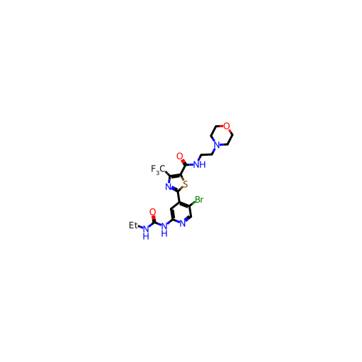 CCNC(=O)Nc1cc(-c2nc(C(F)(F)F)c(C(=O)NCCN3CCOCC3)s2)c(Br)cn1